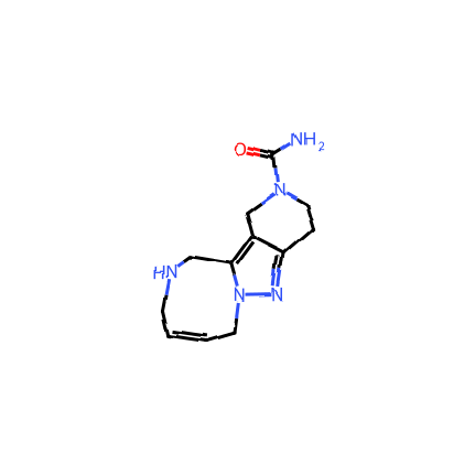 NC(=O)N1CCc2nn3c(c2C1)CNC/C=C\C3